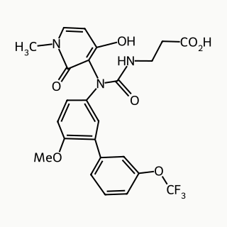 COc1ccc(N(C(=O)NCCC(=O)O)c2c(O)ccn(C)c2=O)cc1-c1cccc(OC(F)(F)F)c1